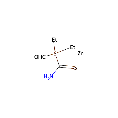 CCS(C=O)(CC)C(N)=S.[Zn]